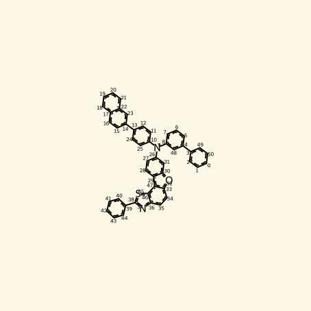 c1ccc(-c2cccc(N(c3ccc(-c4ccc5ccccc5c4)cc3)c3ccc4c(c3)oc3ccc5nc(-c6ccccc6)sc5c34)c2)cc1